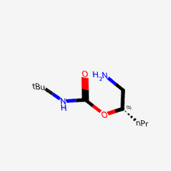 CCC[C@@H](CN)OC(=O)NC(C)(C)C